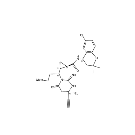 C#C[C@@]1(CC)CC(=O)N([C@H](CCOC)[C@@H]2C[C@H]2C(=O)N[C@H]2CC(C)(C)Oc3ccc(Cl)cc32)C(=N)N1